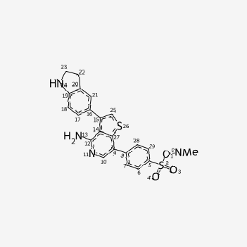 CNOS(=O)(=O)c1ccc(-c2cnc(N)c3c(-c4ccc5c(c4)CCN5)csc23)cc1